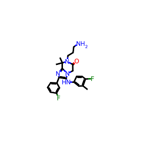 Cc1cc(Nc2c(-c3cccc(F)c3)nc3n2CC(=O)N(CCCN)C3(C)C)ccc1F